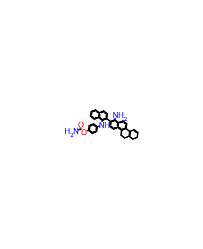 NC(=O)Oc1ccc(Nc2c(-c3ccc4c5c(ccc4c3N)C3=C(CCC=C3)CC5)ccc3ccccc23)cc1